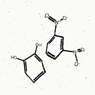 O=[N+]([O-])c1cccc([N+](=O)[O-])c1.Oc1ccccc1O